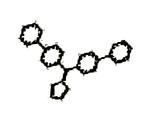 C1=CC(=C(c2ccc(-c3ccccc3)cc2)c2ccc(-c3ccccc3)cc2)C=C1